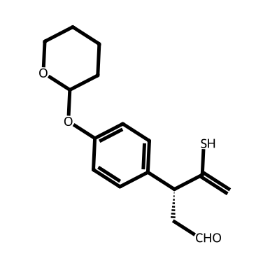 C=C(S)[C@H](CC=O)c1ccc(OC2CCCCO2)cc1